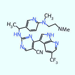 CNCCN(C)c1ccc(C(C)Nc2ncc(C#N)c(-c3c[nH]c4ncc(C(F)(F)F)cc34)n2)cn1